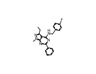 CCc1nn(C)c2nc(-c3ccccc3)nc(NCc3ccc(F)cc3)c12